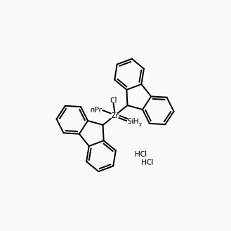 CC[CH2][Zr](=[SiH2])([Cl])([CH]1c2ccccc2-c2ccccc21)[CH]1c2ccccc2-c2ccccc21.Cl.Cl